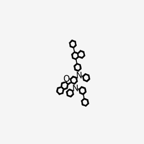 c1ccc(-c2cccc(N(c3ccccc3)c3cc(N(c4ccccc4)c4ccc(-c5ccc(-c6ccccc6)c6ccccc56)cc4)cc4oc5cc6ccccc6cc5c34)c2)cc1